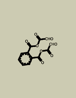 O=CC(=O)OC(=O)c1ccccc1C(=O)OC(=O)C=O